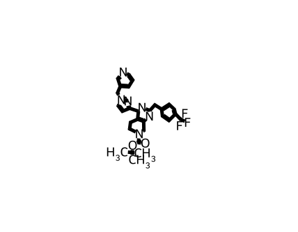 CC(C)(C)OC(=O)N1CCc2c(nc(Cc3ccc(C(F)(F)F)cc3)nc2-c2ccn(Cc3cccnc3)n2)C1